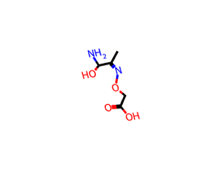 C/C(=N/OCC(=O)O)C(N)O